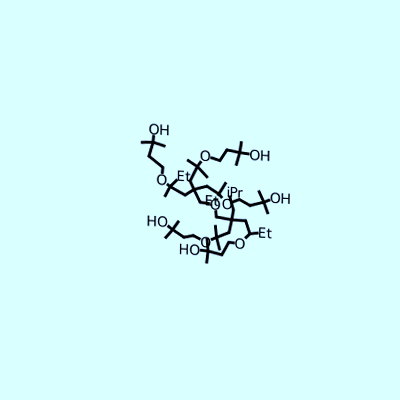 CCC(CC(COCC(CC(C)(C)OCCC(C)(C)O)(CC(C)(CC)OCCC(C)(C)O)CC(C)(CC)OCCC(C)(C)O)(CC(C)C)CC(C)(C)OCCC(C)(C)O)OCCC(C)(C)O